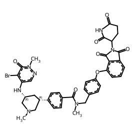 CN1C[C@H](Nc2cnn(C)c(=O)c2Br)C[C@H](c2ccc(C(=O)N(C)Cc3ccc(Oc4cccc5c4C(=O)N(C4CCC(=O)NC4=O)C5=O)cc3)cc2)C1